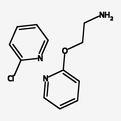 Clc1ccccn1.NCCOc1ccccn1